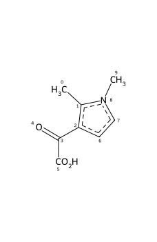 Cc1c(C(=O)C(=O)O)ccn1C